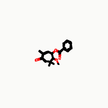 COC1C(OC(=O)c2ccccc2)C=C(C)C(=O)CC1(C)C